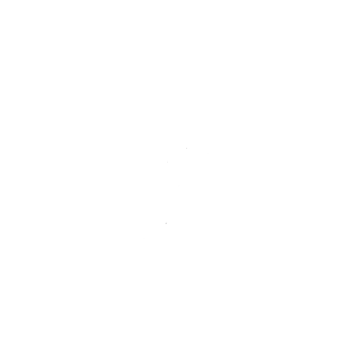 O=C([S])CCCCBr